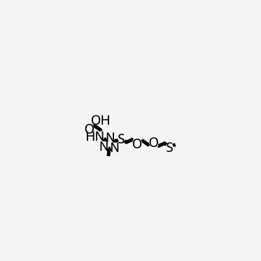 CSCCOCCOCCSc1nc(C)nc(NCC(=O)O)n1